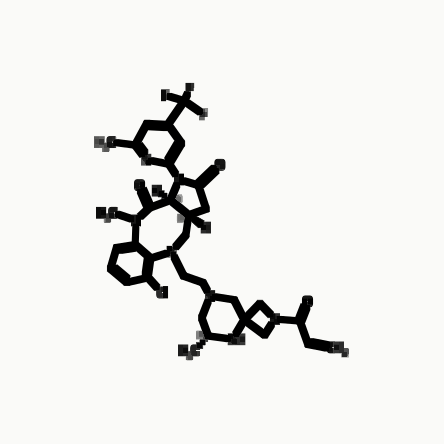 C=CC(=O)N1CC2(CN(CCN3C[C@H]4CC(=O)N(c5cc(C(F)(F)F)cc(C)n5)[C@@H]4C(=O)N(C)c4cccc(Cl)c43)C[C@@H](C)N2)C1